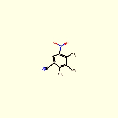 Cc1c(C#N)cc([N+](=O)[O-])c(C)c1C